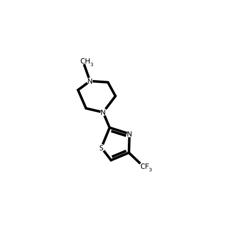 CN1CCN(c2nc(C(F)(F)F)cs2)CC1